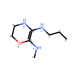 CCCNC1=C(NC)OCCN1